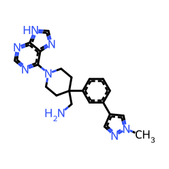 Cn1cc(-c2cccc(C3(CN)CCN(c4ncnc5[nH]cnc45)CC3)c2)cn1